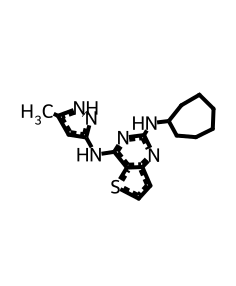 Cc1cc(Nc2nc(NC3CCCCCC3)nc3ccsc23)n[nH]1